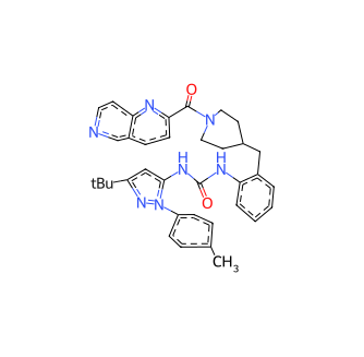 Cc1ccc(-n2nc(C(C)(C)C)cc2NC(=O)Nc2ccccc2CC2CCN(C(=O)c3ccc4cnccc4n3)CC2)cc1